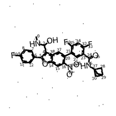 CNC(O)c1c(-c2ccc(F)cc2)oc2cc([N+](=O)[O-])c(-c3cc(C(=O)NC45CC(C4)C5)c(F)cc3F)cc12